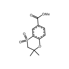 COC(=O)c1ccc2c(c1)S(=O)(=O)CC(C)(C)O2